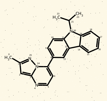 Cc1cc2nccc(-c3ccc4c(c3)c3ccccc3n4C(C)C)n2n1